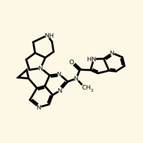 CN(C(=O)c1cc2cccnc2[nH]1)c1nc(N2CCC3CNCCC32)c2c(C3CC3)cncc2n1